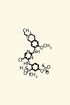 CCN1CCc2cc(OC)c(Nc3ncc(Cl)c(Nc4ccc(OS(=O)(=O)F)cc4P(C)(C)=O)n3)cc2C1